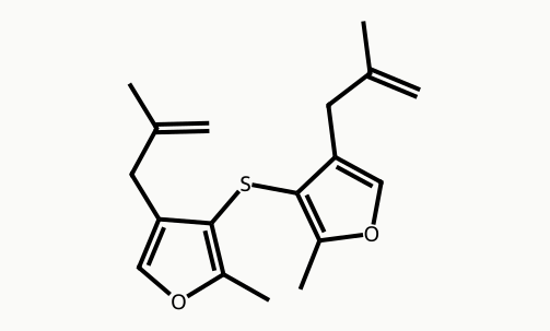 C=C(C)Cc1coc(C)c1Sc1c(CC(=C)C)coc1C